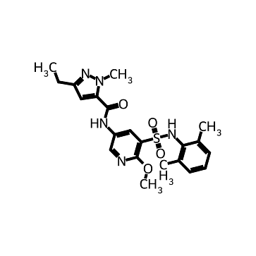 CCc1cc(C(=O)Nc2cnc(OC)c(S(=O)(=O)Nc3c(C)cccc3C)c2)n(C)n1